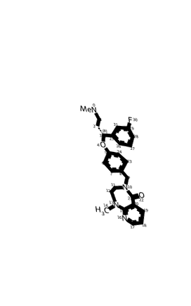 CNCC[C@@H](Oc1ccc(CN2CCN(C)c3ncccc3C2=O)cc1)c1cccc(F)c1